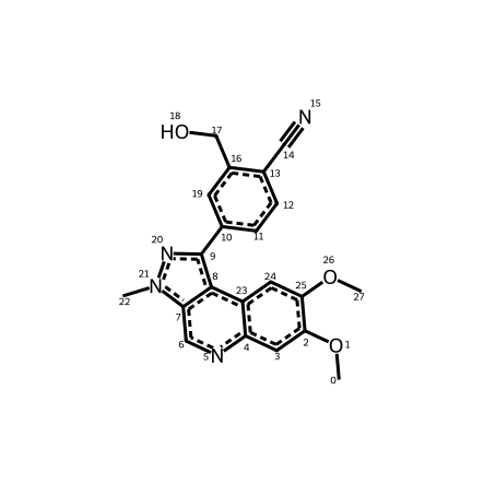 COc1cc2ncc3c(c(-c4ccc(C#N)c(CO)c4)nn3C)c2cc1OC